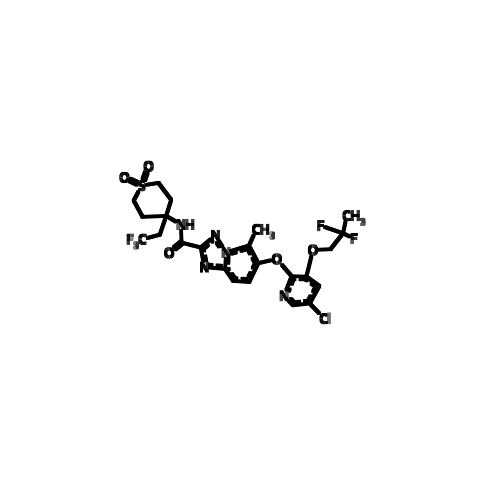 Cc1c(Oc2ncc(Cl)cc2OCC(C)(F)F)ccc2nc(C(=O)NC3(CC(F)(F)F)CCS(=O)(=O)CC3)nn12